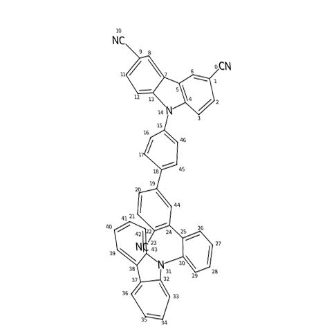 N#Cc1ccc2c(c1)c1cc(C#N)ccc1n2-c1ccc(-c2ccc(C#N)c(-c3ccccc3-n3c4ccccc4c4ccccc43)c2)cc1